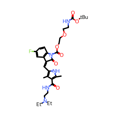 CCN(CC)CCNC(=O)c1c(C)[nH]c(C=C2C(=O)N(C(=O)OCCOCCNC(=O)OC(C)(C)C)c3ccc(F)cc32)c1C